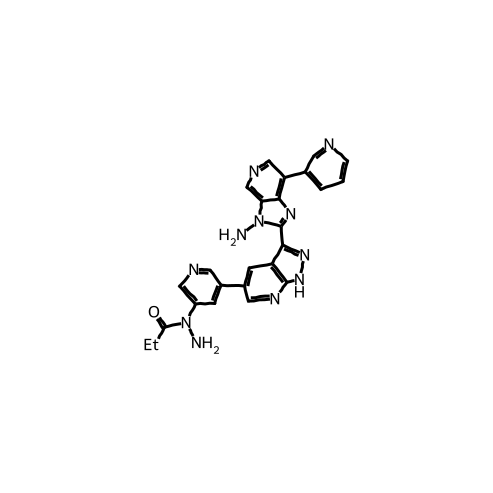 CCC(=O)N(N)c1cncc(-c2cnc3[nH]nc(-c4nc5c(-c6cccnc6)cncc5n4N)c3c2)c1